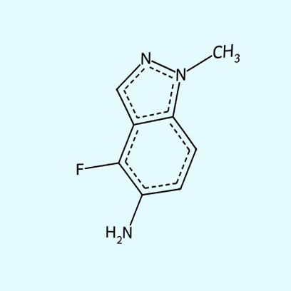 Cn1ncc2c(F)c(N)ccc21